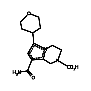 NC(=O)c1cc(C2CCOCC2)n2c1CN(C(=O)O)CC2